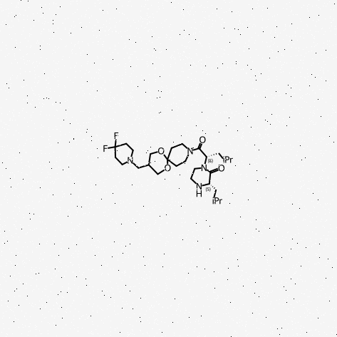 CC(C)C[C@@H]1NCCN([C@@H](CC(C)C)C(=O)N2CCC3(CC2)OCC(CN2CCC(F)(F)CC2)CO3)C1=O